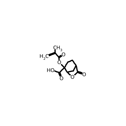 C=C(C)C(=O)OC1(C(=O)O)CCC2CC1OC2=O